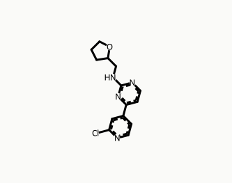 Clc1cc(-c2ccnc(NCC3CCCO3)n2)ccn1